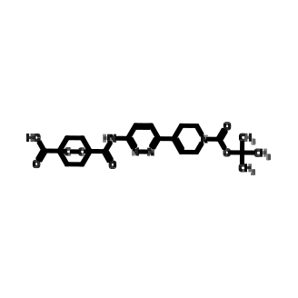 CC(C)(C)OC(=O)N1CC=C(c2ccc(NC(=O)C34CCC(C(=O)O)(CC3)CC4)nn2)CC1